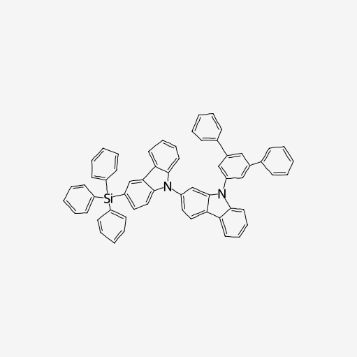 c1ccc(-c2cc(-c3ccccc3)cc(-n3c4ccccc4c4ccc(-n5c6ccccc6c6cc([Si](c7ccccc7)(c7ccccc7)c7ccccc7)ccc65)cc43)c2)cc1